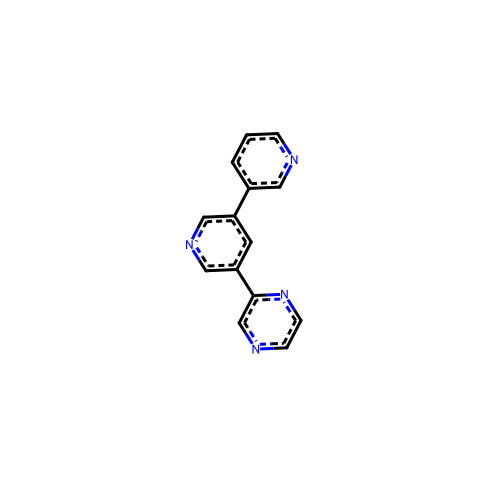 c1cncc(-c2cncc(-c3cnccn3)c2)c1